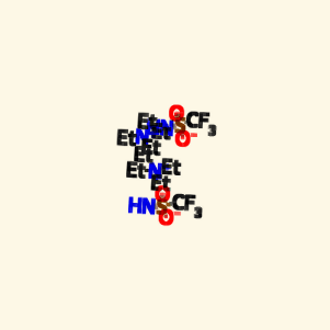 CC[N+](CC)(CC)CC.CC[N+](CC)(CC)CC.N=S(=O)([O-])C(F)(F)F.N=S(=O)([O-])C(F)(F)F